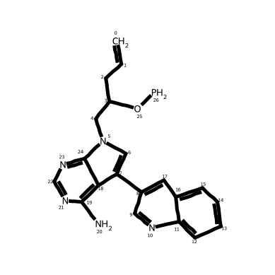 C=CCC(Cn1cc(-c2cnc3ccccc3c2)c2c(N)ncnc21)OP